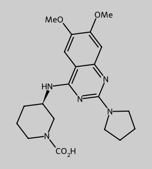 COc1cc2nc(N3CCCC3)nc(N[C@@H]3CCCN(C(=O)O)C3)c2cc1OC